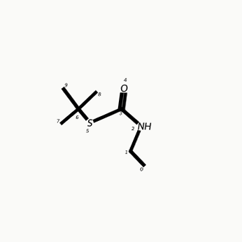 CCNC(=O)SC(C)(C)C